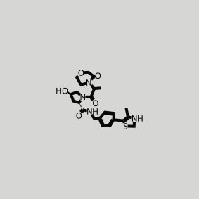 CC1=C(c2ccc(CNC(=O)[C@@H]3C[C@@H](O)CN3C(=O)C(C)N3CCOCC3=O)cc2)SCN1